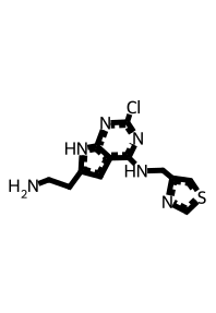 NCCc1cc2c(NCc3cscn3)nc(Cl)nc2[nH]1